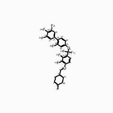 CC1CCC(COc2ccc(C(F)(F)Oc3ccc(-c4cc(F)c(F)c(F)c4)c(F)c3)c(F)c2F)CC1